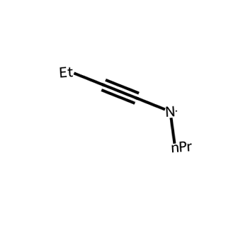 CCC#C[N]CCC